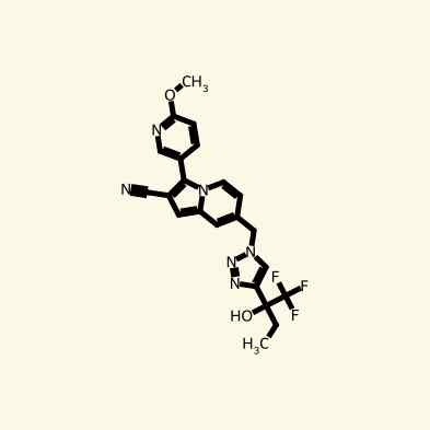 CCC(O)(c1cn(Cc2ccn3c(-c4ccc(OC)nc4)c(C#N)cc3c2)nn1)C(F)(F)F